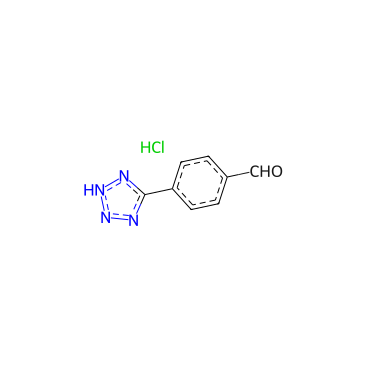 Cl.O=Cc1ccc(-c2nn[nH]n2)cc1